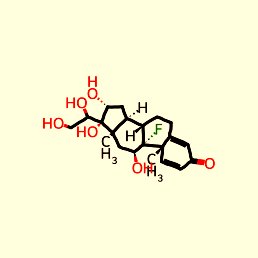 C[C@]12C=CC(=O)C=C1CC[C@H]1[C@@H]3C[C@@H](O)[C@](O)(C(O)CO)[C@@]3(C)C[C@H](O)[C@@]12F